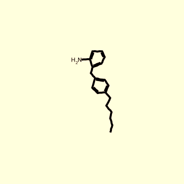 CCCCCCc1ccc(Cc2ccccc2N)cc1